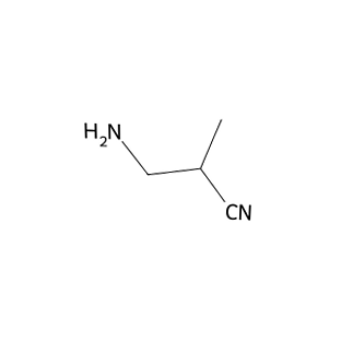 CC(C#N)CN